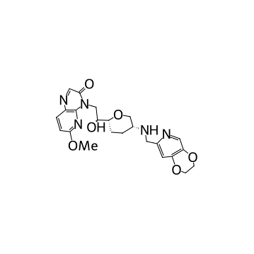 COc1ccc2ncc(=O)n(C[C@H](O)[C@H]3CC[C@@H](NCc4cc5c(cn4)OCCO5)CO3)c2n1